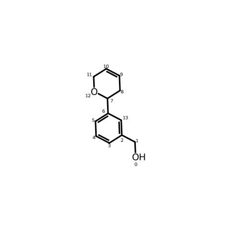 OCc1cccc(C2CC=CCO2)c1